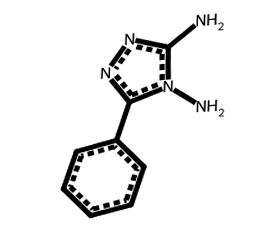 Nc1nnc(-c2ccccc2)n1N